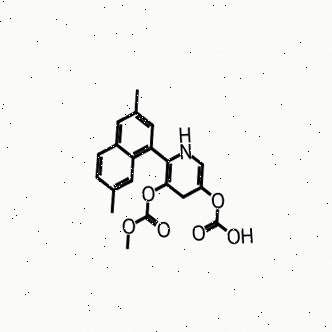 COC(=O)OC1=C(c2cc(C)cc3ccc(C)cc23)NC=C(OC(=O)O)C1